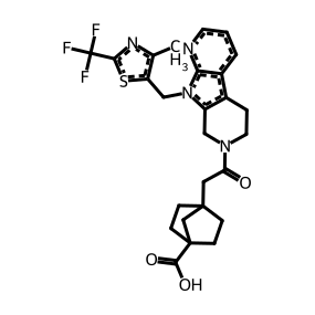 Cc1nc(C(F)(F)F)sc1Cn1c2c(c3cccnc31)CCN(C(=O)CC13CCC(C(=O)O)(CC1)C3)C2